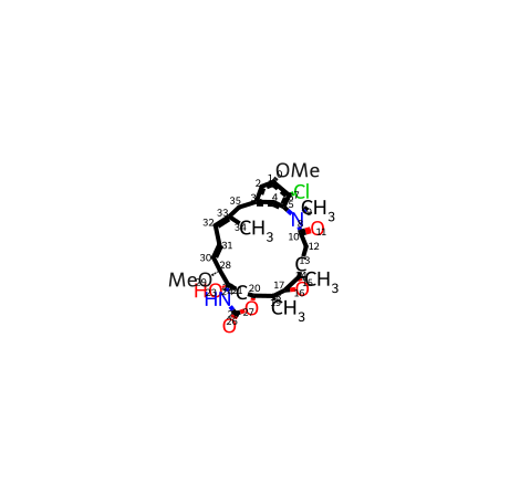 COc1cc2cc(c1Cl)N(C)C(=O)CC[C@]1(C)OC1[C@H](C)C1C[C@@](O)(NC(=O)O1)[C@H](OC)/C=C/C=C(\C)C2